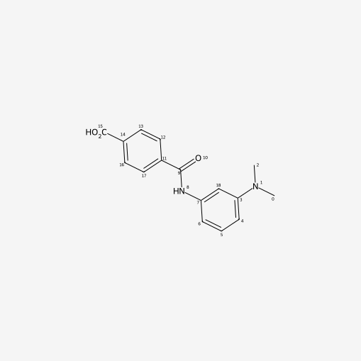 CN(C)c1cccc(NC(=O)c2ccc(C(=O)O)cc2)c1